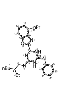 CCCCC(CC)CN=c1nc(-c2nc3c(CCC)cccc3o2)[nH]c(=Nc2ccccc2)[nH]1